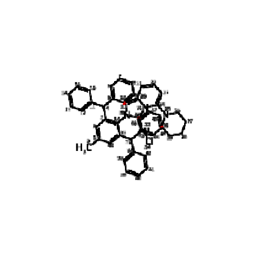 Cc1cc(C(c2ccccc2)c2ccccc2)c(-n2cc3cccc(N4CCCCC4)n3[c]2=[Au][Cl])c(C(c2ccccc2)c2ccccc2)c1